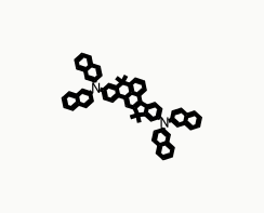 CC1(C)c2cc(N(c3ccc4ccccc4c3)c3ccc4ccccc4c3)ccc2-c2c1cc1c3c(cccc23)C(C)(C)c2cc(N(c3ccc4ccccc4c3)c3ccc4ccccc4c3)ccc2-1